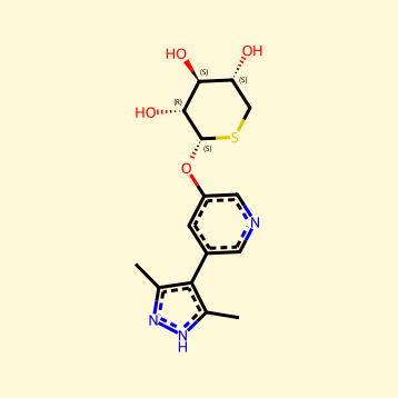 Cc1n[nH]c(C)c1-c1cncc(O[C@H]2SC[C@@H](O)[C@H](O)[C@H]2O)c1